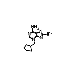 CC(C)c1nc2c(N)ncn(CC3CCCC3)c-2n1